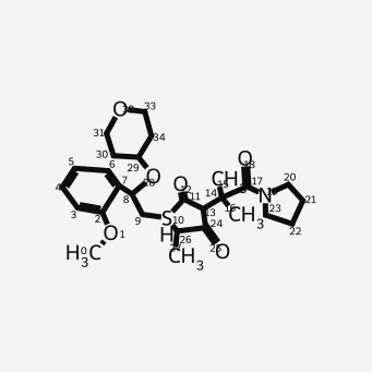 COc1ccccc1C(C[SH]1C(=O)C(C(C)(C)C(=O)N2CCCC2)C(=O)C1C)OC1CCOCC1